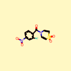 O=C(c1ccc([N+](=O)[O-])cc1F)N1C=CS(=O)(=O)C=C1